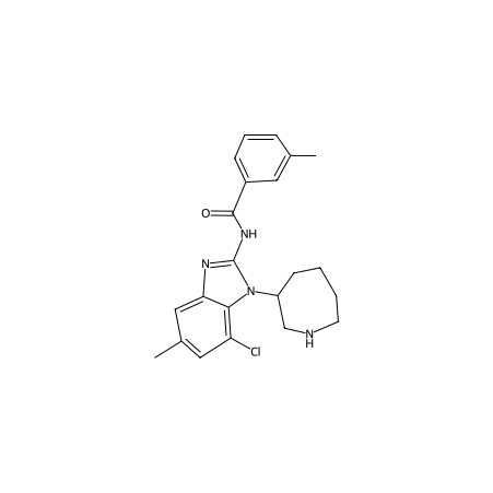 Cc1cccc(C(=O)Nc2nc3cc(C)cc(Cl)c3n2C2CCCCNC2)c1